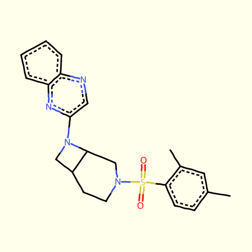 Cc1ccc(S(=O)(=O)N2CCC3CN(c4cnc5ccccc5n4)C3C2)c(C)c1